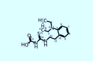 CCN(CC)c1ccccc1[CH]CNC(=S)NC(=O)O